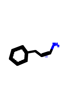 N/C=C\Cc1ccccc1